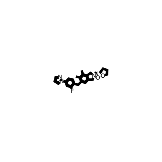 Cc1c(Cc2ccc(-n3cccn3)cc2F)cc2c(c1C)C[N+]([O-])(C[C@@H]1CCCO1)C2